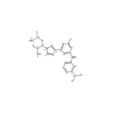 Cc1cc(Nc2nccc(C(F)F)n2)cc(-c2cnn(C(CC(C)O)C(C)O)c2)c1